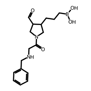 O=CC1CN(C(=O)CNCc2ccccc2)CC1CCCB(O)O